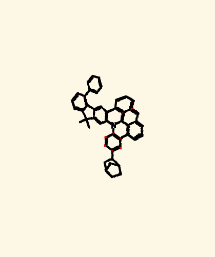 CC1(C)c2cc(N(c3ccc(C4CC5CCC4C5)cc3)c3cccc4cccc(C5CCCCC5)c34)c(-c3ccccc3)cc2-c2c(-c3ccccc3)cccc21